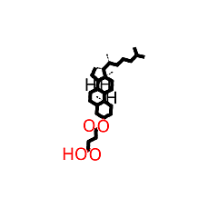 CC(C)CCC[C@@H](C)[C@H]1CC[C@H]2[C@@H]3CCC4CC(OC(=O)CCC(=O)O)CC[C@]4(C)[C@H]3CC[C@]12C